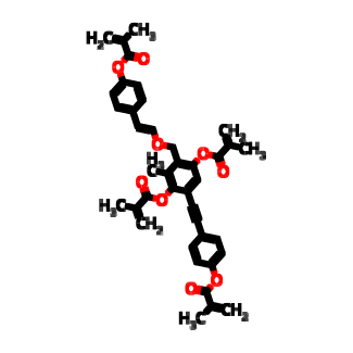 C=C(C)C(=O)Oc1ccc(C#Cc2cc(OC(=O)C(=C)C)c(CO/C=C/c3ccc(OC(=O)C(=C)C)cc3)c(C)c2OC(=O)C(=C)C)cc1